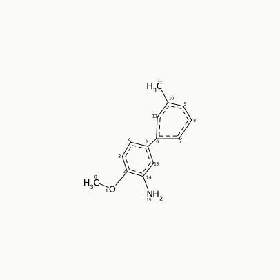 COc1ccc(-c2[c]ccc(C)c2)cc1N